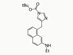 CCNc1ccc2cccc(Cc3cn(C(=O)OC(C)(C)C)cn3)c2c1